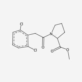 COC(=O)C1CCCN1C(=O)Cc1c(Cl)cccc1Cl